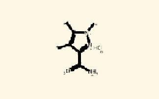 Cc1c(C(N)=O)nn(C)c1C.Cl